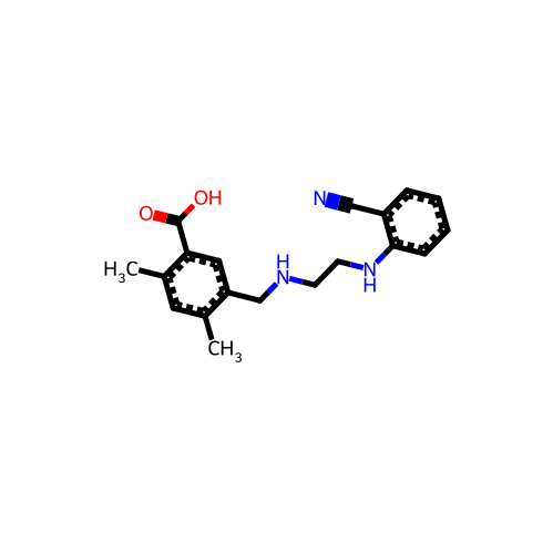 Cc1cc(C)c(C(=O)O)cc1CNCCNc1ccccc1C#N